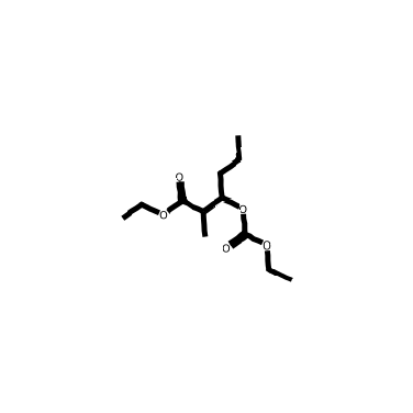 CCCC(OC(=O)OCC)C(C)C(=O)OCC